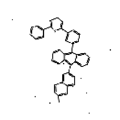 Cc1ccc2cc(-c3c4ccccc4c(-c4cccc(C5=CCC=C(c6ccccc6)S5)c4)c4ccccc34)ccc2c1